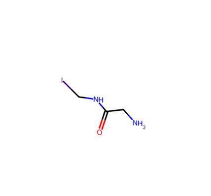 NCC(=O)NCI